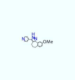 COc1ccc2c(c1)-c1n[nH]c(-c3ccncc3)c1CCC2